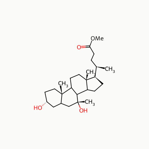 COC(=O)CC[C@@H](C)[C@H]1CCC2C3C(CC[C@@]21C)[C@@]1(C)CC[C@@H](O)CC1C[C@@]3(C)O